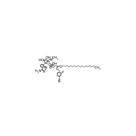 CCCCCCCCCCCCCCCCCCOC[C@H](COP(=O)(O)OC[C@@]1(C=NC)O[C@@H](c2ccc3c(N)ncnn23)[C@H](O)[C@@H]1O)OCc1ccc(C#N)cc1F